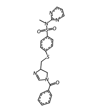 CN(c1ncccn1)S(=O)(=O)c1ccc(SCC2CN(C(=O)c3ccccc3)C=N2)cc1